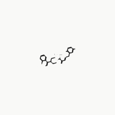 C=C(/C=C(/Cc1cc(F)ccc1F)OC)C(=O)N1CCC(/C(=C/CCC)c2ccccc2C)CC1